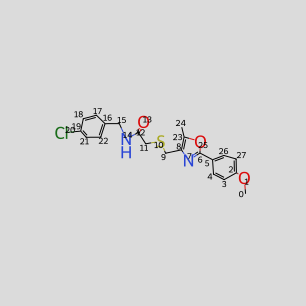 COc1ccc(-c2nc(CSCC(=O)NCc3ccc(Cl)cc3)c(C)o2)cc1